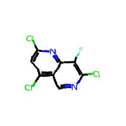 Fc1c(Cl)ncc2c(Cl)cc(Cl)nc12